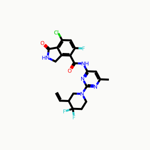 C=CC1CN(c2nc(C)cc(NC(=O)c3c(F)cc(Cl)c4c3CNC4=O)n2)CCC1(F)F